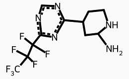 NC1CC(c2ncnc(C(F)(F)C(F)(F)C(F)(F)F)n2)CCN1